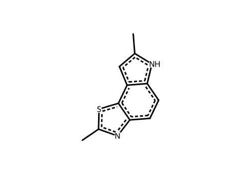 Cc1cc2c(ccc3nc(C)sc32)[nH]1